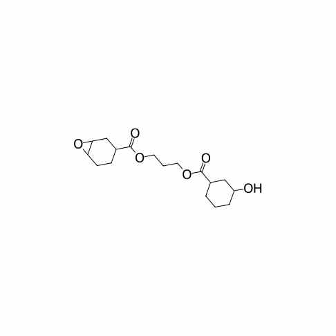 O=C(OCCCOC(=O)C1CCC2OC2C1)C1CCCC(O)C1